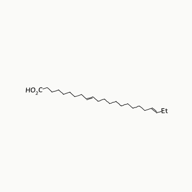 CCC=CCCCCCCCCCC=CCCCCCCCC(=O)O